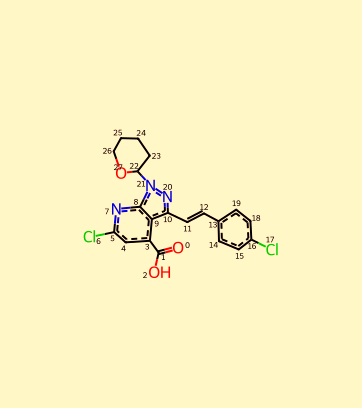 O=C(O)c1cc(Cl)nc2c1c(C=Cc1ccc(Cl)cc1)nn2C1CCCCO1